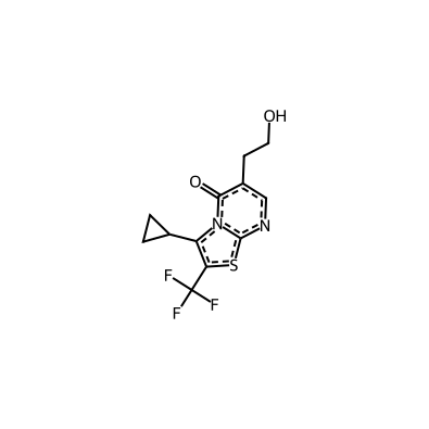 O=c1c(CCO)cnc2sc(C(F)(F)F)c(C3CC3)n12